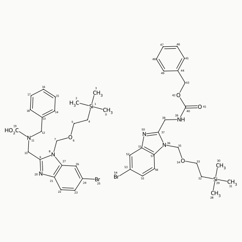 C[Si](C)(C)CCOCn1c(CN(Cc2ccccc2)C(=O)O)nc2ccc(Br)cc21.C[Si](C)(C)CCOCn1c(CNC(=O)OCc2ccccc2)nc2cc(Br)ccc21